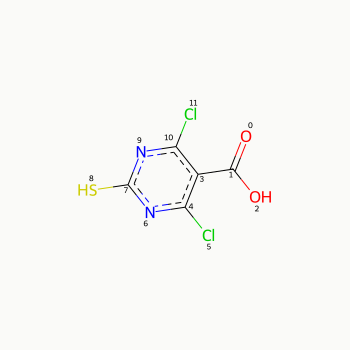 O=C(O)c1c(Cl)nc(S)nc1Cl